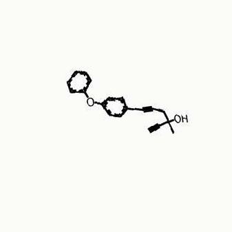 C#CC(C)(O)CC#Cc1ccc(Oc2ccccc2)cc1